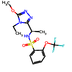 CCn1c(OC)nnc1[C@@H](C)NS(=O)(=O)c1ccccc1OC(F)(F)F